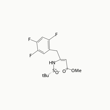 COC(=O)/C=C(/Cc1cc(F)c(F)cc1F)N[S@+]([O-])C(C)(C)C